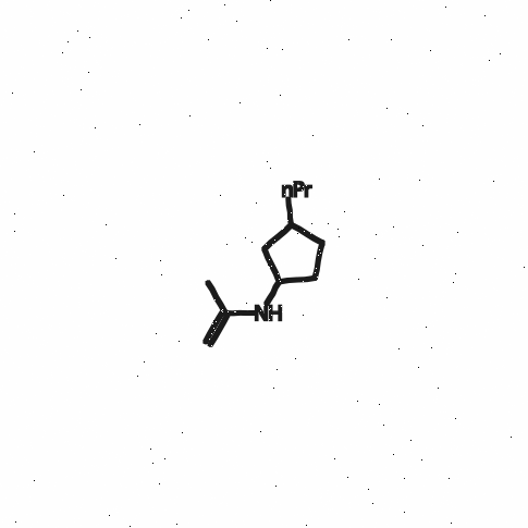 C=C(C)NC1CCC(CCC)C1